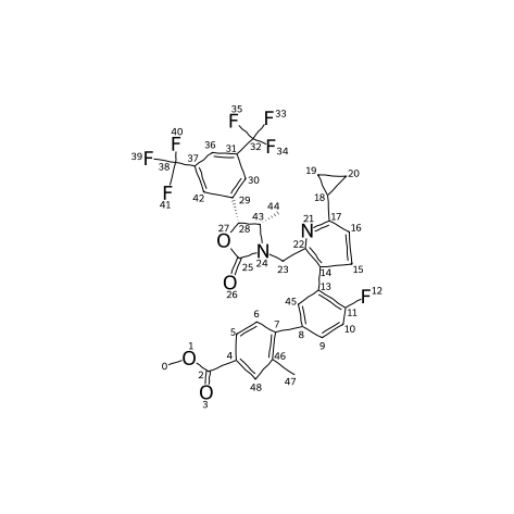 COC(=O)c1ccc(-c2ccc(F)c(-c3ccc(C4CC4)nc3CN3C(=O)O[C@H](c4cc(C(F)(F)F)cc(C(F)(F)F)c4)[C@@H]3C)c2)c(C)c1